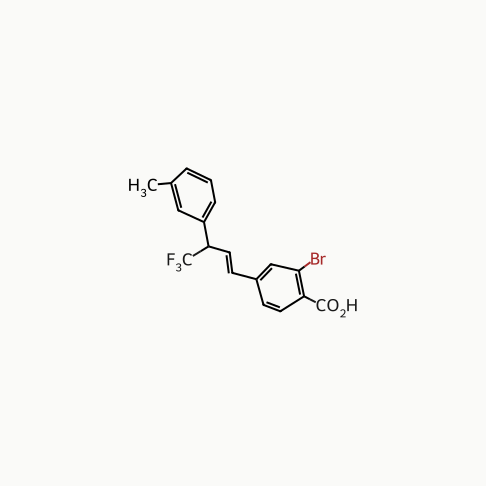 Cc1cccc(C(/C=C/c2ccc(C(=O)O)c(Br)c2)C(F)(F)F)c1